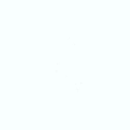 [2H]C([2H])([2H])C1=CC(c2c(O)cc(C([2H])([2H])[2H])cc2O)C(C(=C)C)CC1